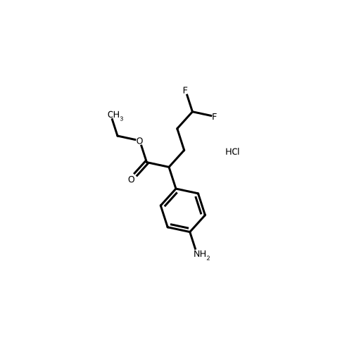 CCOC(=O)C(CCC(F)F)c1ccc(N)cc1.Cl